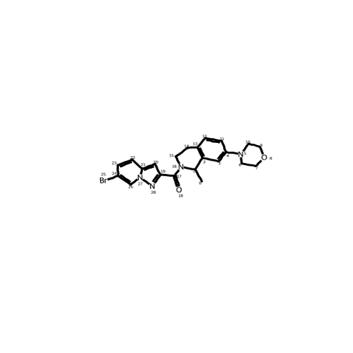 CC1c2cc(N3CCOCC3)ccc2CCN1C(=O)c1cc2ccc(Br)cn2n1